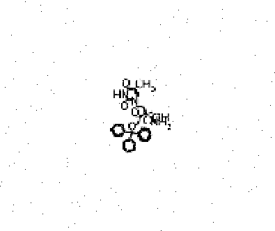 Cc1cn([C@H]2C[C@](CO)(ON)[C@@H](COC(c3ccccc3)(c3ccccc3)c3ccccc3)O2)c(=O)[nH]c1=O